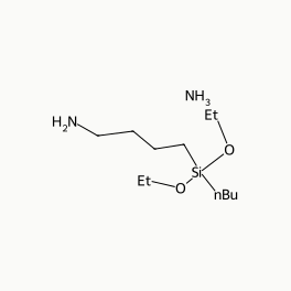 CCCC[Si](CCCCN)(OCC)OCC.N